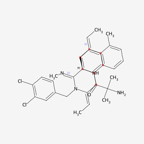 CC=C(Cc1ccccc1)N(Cc1ccc(Cl)c(Cl)c1)/C(=N\C)[C@@H](C/C(=C/C)c1ccccc1C)NC(=O)C(C)(C)N